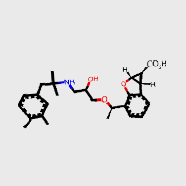 Cc1ccc(CC(C)(C)NCC(O)CO[C@H](C)c2cccc3c2O[C@@H]2[C@@H](C(=O)O)[C@H]32)cc1C